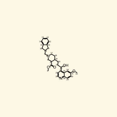 COC(=O)C1CN(CC2Cc3ccccc3C2)CCC1CCC(O)c1ccnc2ccc(OC)cc12